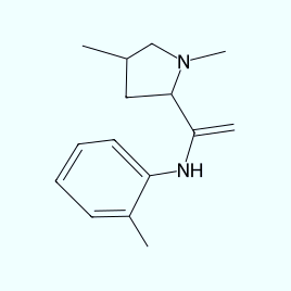 C=C(Nc1ccccc1C)C1CC(C)CN1C